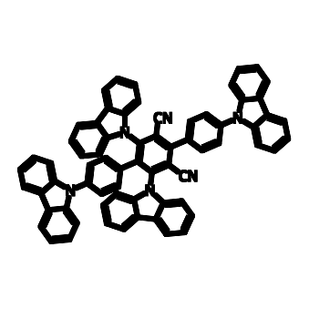 N#Cc1c(-c2ccc(-n3c4ccccc4c4ccccc43)cc2)c(C#N)c(-n2c3ccccc3c3ccccc32)c(-c2ccc(-n3c4ccccc4c4ccccc43)cc2)c1-n1c2ccccc2c2ccccc21